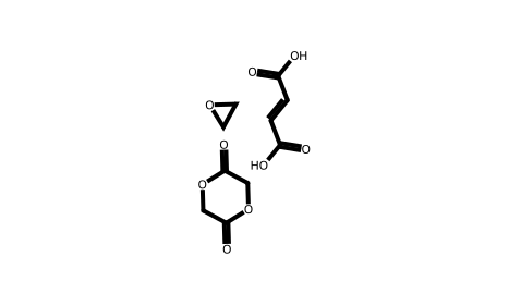 C1CO1.O=C(O)/C=C/C(=O)O.O=C1COC(=O)CO1